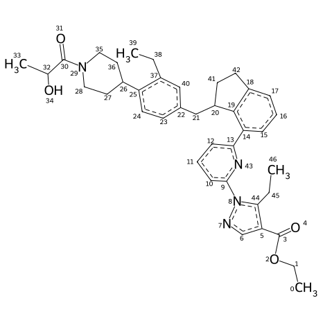 CCOC(=O)c1cnn(-c2cccc(-c3cccc4c3C(Cc3ccc(C5CCN(C(=O)C(C)O)CC5)c(CC)c3)CC4)n2)c1CC